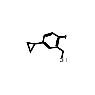 OCc1cc(C2CC2)ccc1F